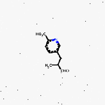 CC(C=O)Cc1ccc(C(=O)O)nc1